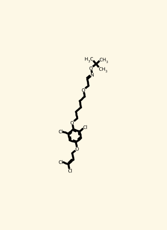 CC(C)(C)ON=CCOCCCCCOc1c(Cl)cc(OCC=C(Cl)Cl)cc1Cl